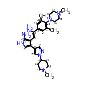 Cc1cc(/C(N)=C/c2c(-c3cnn(C4CCN(C)CC4)c3)c[nH]c2N)cc(C)c1N1CCN(C)CC1